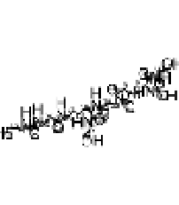 CC(=O)NC(CSC1CC(=O)N(CCC(=O)NC(CCCCNC(=O)CCNC(=O)NCCS)C(=O)NCCO)C1=O)C(=O)NCCO